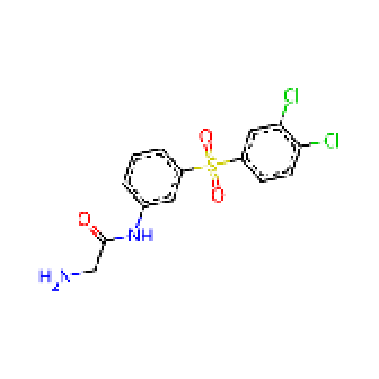 NCC(=O)Nc1cccc(S(=O)(=O)c2ccc(Cl)c(Cl)c2)c1